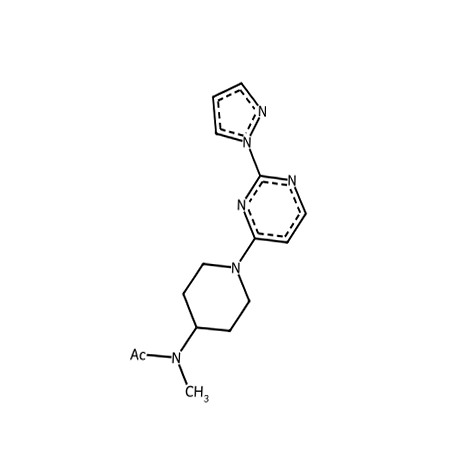 CC(=O)N(C)C1CCN(c2ccnc(-n3cccn3)n2)CC1